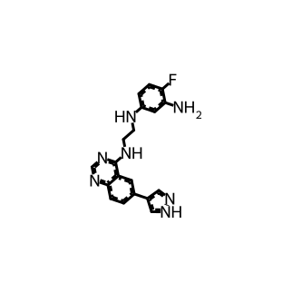 Nc1cc(NCCNc2ncnc3ccc(-c4cn[nH]c4)cc23)ccc1F